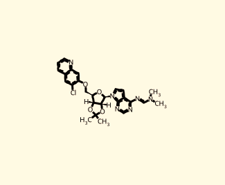 CN(C)/C=N/c1ncnc2c1ccn2[C@@H]1O[C@H](COc2cc3ncccc3cc2Cl)[C@H]2OC(C)(C)O[C@H]21